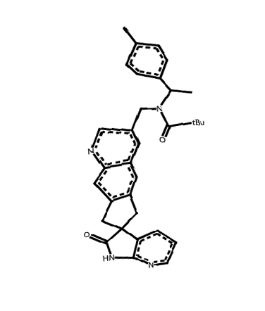 Cc1ccc(C(C)N(Cc2cnc3cc4c(cc3c2)CC2(C4)C(=O)Nc3ncccc32)C(=O)C(C)(C)C)cc1